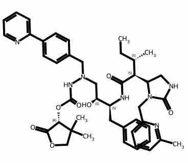 CC[C@H](C)[C@H](C(=O)N[C@@H](Cc1ccccc1)[C@@H](O)CN(Cc1ccc(-c2ccccn2)cc1)NC(=O)O[C@H]1C(=O)OCC1(C)C)C1CNC(=O)N1Cc1cccc(C)n1